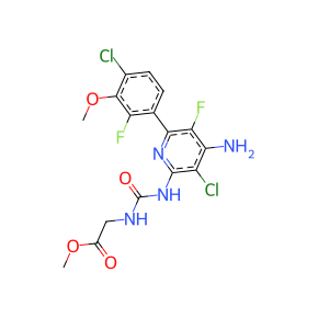 COC(=O)CNC(=O)Nc1nc(-c2ccc(Cl)c(OC)c2F)c(F)c(N)c1Cl